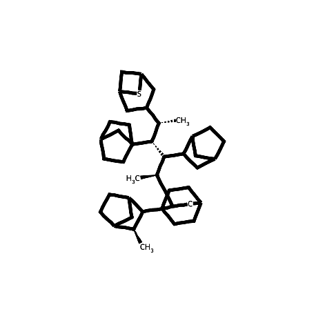 C[C@@H](C(C1CC2CCC1C2)[C@@H]([C@@H](C)C1CC2CC(C1)S2)C12CCC(CC1)C2)C1CC2CCC1(C1C3CCC(C3)[C@@H]1C)CC2